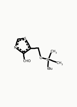 CC(C)(C)[Si](C)(C)OCc1scnc1C=O